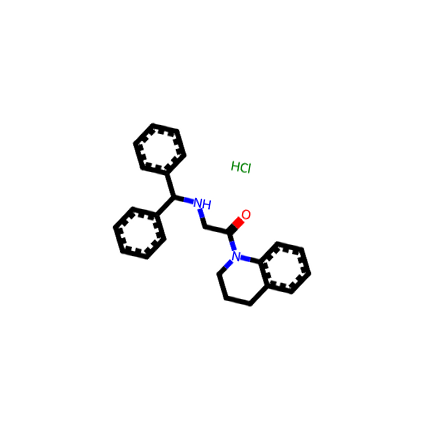 Cl.O=C(CNC(c1ccccc1)c1ccccc1)N1CCCc2ccccc21